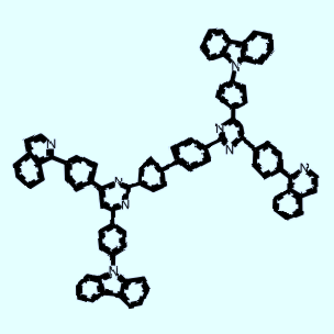 c1ccc2c(-c3ccc(-c4cc(-c5ccc(-n6c7ccccc7c7ccccc76)cc5)nc(-c5ccc(-c6ccc(-c7nc(-c8ccc(-c9nccc%10ccccc9%10)cc8)cc(-c8ccc(-n9c%10ccccc%10c%10ccccc%109)cc8)n7)cc6)cc5)n4)cc3)nccc2c1